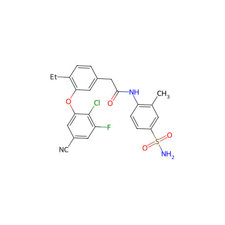 CCc1ccc(CC(=O)Nc2ccc(S(N)(=O)=O)cc2C)cc1Oc1cc(C#N)cc(F)c1Cl